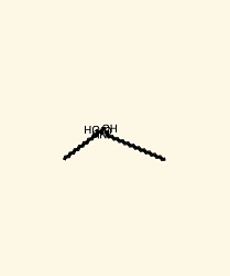 CCCCCCCCC/C=C/CC/C=C/C(O)C(CO)NC(=O)CCCCCCCCCCCCCCCCCCCCCC